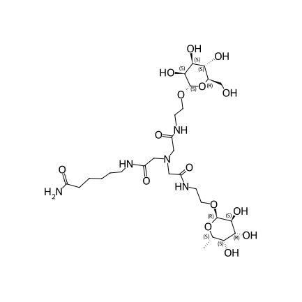 C[C@@H]1O[C@@H](OCCNC(=O)CN(CC(=O)NCCCCCC(N)=O)CC(=O)NCCO[C@H]2O[C@H](CO)[C@@H](O)[C@H](O)[C@@H]2O)[C@@H](O)[C@H](O)[C@@H]1O